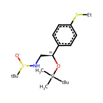 CCSc1ccc([C@H](CN[S+]([O-])C(C)(C)C)O[Si](C)(C)C(C)(C)C)cc1